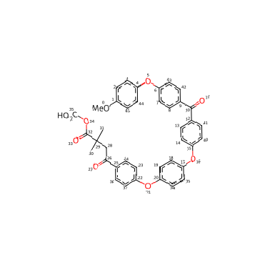 COc1ccc(Oc2ccc(C(=O)c3ccc(Oc4ccc(Oc5ccc(C(=O)CC(C)(C)C(=O)OC(=O)O)cc5)cc4)cc3)cc2)cc1